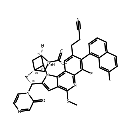 CSc1nc2c(F)c(-c3cccc4ccc(F)cc34)c(CCC#N)cc2c2c1cc([C@@H](C)n1ccncc1=O)n2[C@H]1[C@@H]2C[C@H]1N(C(=O)O)C2